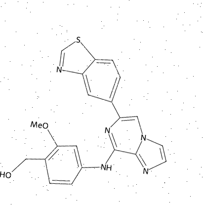 COc1cc(Nc2nc(-c3ccc4scnc4c3)cn3ccnc23)ccc1CO